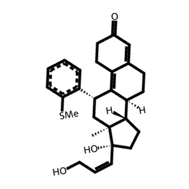 CSc1ccccc1[C@H]1C[C@@]2(C)[C@@H](CC[C@@]2(O)/C=C\CO)[C@@H]2CCC3=CC(=O)CCC3=C21